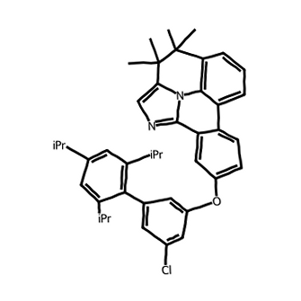 CC(C)c1cc(C(C)C)c(-c2cc(Cl)cc(Oc3ccc4c(c3)c3ncc5n3c3c(cccc43)C(C)(C)C5(C)C)c2)c(C(C)C)c1